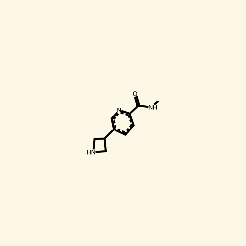 CNC(=O)c1ccc(C2CNC2)cn1